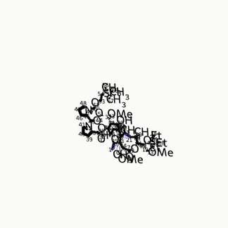 C/C=C\[C@@H]1[C@@H](COC)C(=O)O[C@H]([C@@H](COC)O[Si](CC)(CC)CC)[C@H](C)/C=C(\C)[C@]12O[C@@H]1C[C@H]2[C@H](O)[C@@H](COC)[C@H]1OC(=O)c1cccn1C(=O)c1cccn1C(=O)OCC[Si](C)(C)C